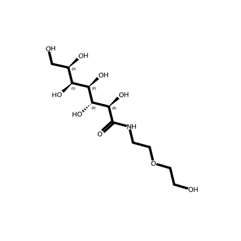 O=C(NCCOCCO)[C@H](O)[C@H](O)[C@H](O)[C@@H](O)[C@H](O)CO